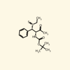 CCS(=S)[C@H](c1ccccc1)[C@H](NC(=O)OC(C)(C)C)C(C)=O